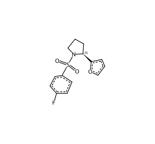 O=S(=O)(c1ccc(F)cc1)N1CCC[C@H]1c1ccco1